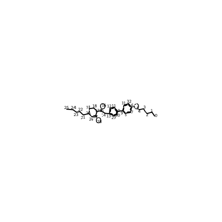 CCCCCOc1ccc(-c2ccc(CC(=O)C3CCC(CCCCC)CC3=O)cc2)cc1